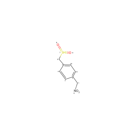 O=[N+]([O-])Cc1ccc(C[SH](=O)=O)cc1